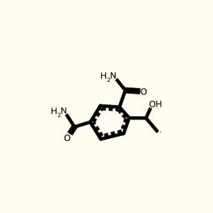 [CH2]C(O)c1ccc(C(N)=O)cc1C(N)=O